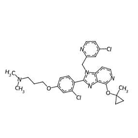 CN(C)CCCOc1ccc(-c2nc3c(OC4(C)CC4)nccc3n2Cc2cc(Cl)ccn2)c(Cl)c1